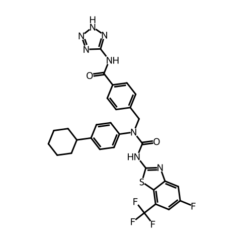 O=C(Nc1nn[nH]n1)c1ccc(CN(C(=O)Nc2nc3cc(F)cc(C(F)(F)F)c3s2)c2ccc(C3CCCCC3)cc2)cc1